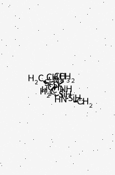 C=C[SiH2]N[SiH](C=C)N[Si](C)(C=C)N(C)[Si](C)(C)C=C